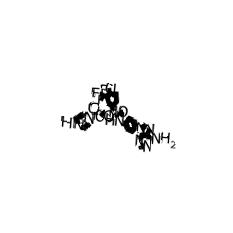 Nc1ncnc2c1ncn2-c1ccc(NC(=O)N(OCOC(=O)N2CCNCC2)c2ccc(Cl)c(C(F)(F)F)c2)cc1